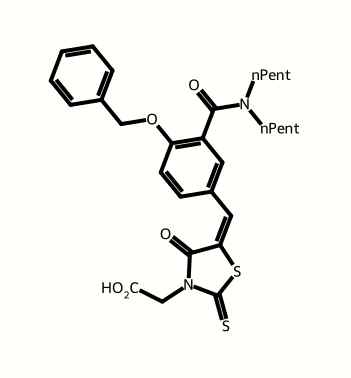 CCCCCN(CCCCC)C(=O)c1cc(C=C2SC(=S)N(CC(=O)O)C2=O)ccc1OCc1ccccc1